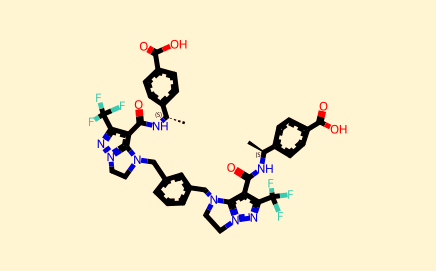 C[C@H](NC(=O)c1c(C(F)(F)F)nn2c1N(Cc1cccc(CN3CCn4nc(C(F)(F)F)c(C(=O)N[C@@H](C)c5ccc(C(=O)O)cc5)c43)c1)CC2)c1ccc(C(=O)O)cc1